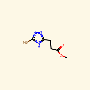 COC(=O)CCc1nnc(S)[nH]1